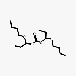 CCCCOC(CC)OC(=O)OC(CC)OCCCC